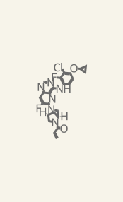 C=CC(=O)N1C[C@@H]2C[C@H]1CN2c1nc2c(Nc3ccc(OC4CC4)c(Cl)c3F)ncnc2cc1F